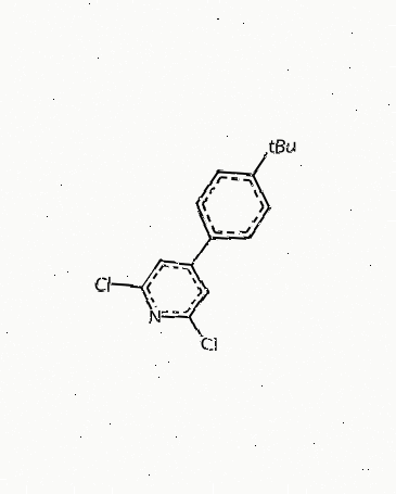 CC(C)(C)c1ccc(-c2cc(Cl)nc(Cl)c2)cc1